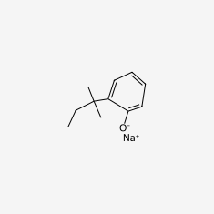 CCC(C)(C)c1ccccc1[O-].[Na+]